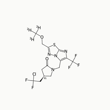 [2H]C([2H])([2H])OCc1nn2c(CN3C[C@@H](CC(F)(F)Cl)CC3=O)c(C(F)(F)F)nc2s1